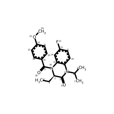 CC[C@@H]1C(=O)N(C(C)C)c2ccc(F)cc2N1C(=O)c1ccc(OC)cc1